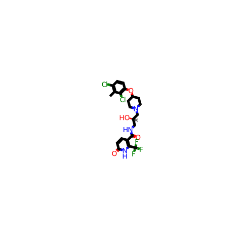 Cc1c(Cl)ccc(OC2CCN(C[C@H](O)CNC(=O)c3ccc(=O)[nH]c3C(F)(F)F)CC2)c1Cl